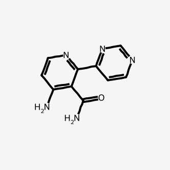 NC(=O)c1c(N)ccnc1-c1ccncn1